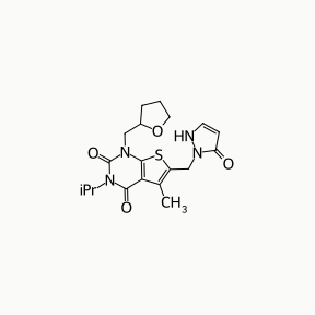 Cc1c(Cn2[nH]ccc2=O)sc2c1c(=O)n(C(C)C)c(=O)n2CC1CCCO1